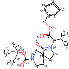 CC(C)C(C(=O)OCc1ccccc1)N1CCC2(CCN(C(=O)OC(C)(C)C)C2)C1=O